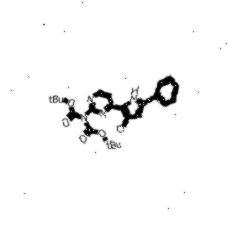 CC(C)(C)OC(=O)N(C(=O)OC(C)(C)C)c1nccc(-c2[nH]c(-c3ccccc3)cc2Cl)n1